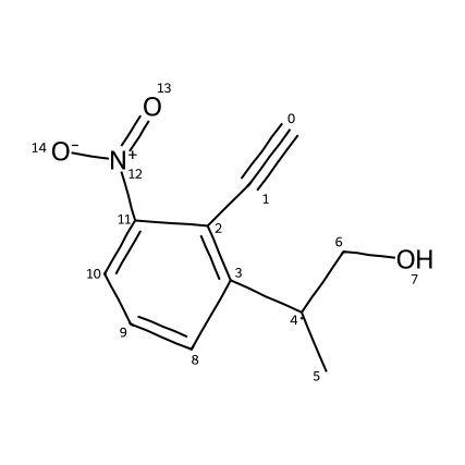 C#Cc1c([C](C)CO)cccc1[N+](=O)[O-]